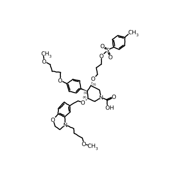 COCCCOc1ccc([C@@H]2[C@@H](OCc3ccc4c(c3)N(CCCOC)CCO4)CN(C(=O)O)C[C@H]2OCCCOS(=O)(=O)c2ccc(C)cc2)cc1